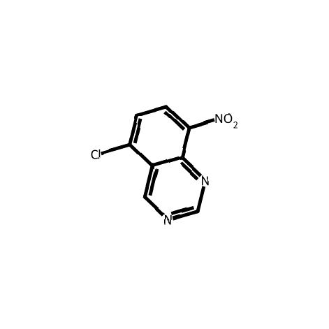 O=[N+]([O-])c1ccc(Cl)c2cncnc12